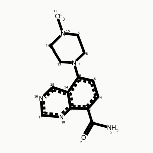 NC(=O)c1ccc(N2CCN(C(F)(F)F)CC2)c2cncnc12